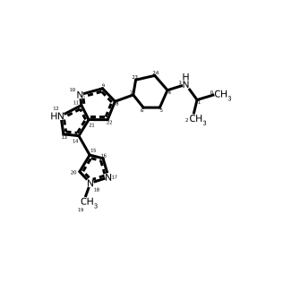 CC(C)NC1CCC(c2cnc3[nH]cc(-c4cnn(C)c4)c3c2)CC1